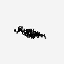 Cc1c(-c2cnc(N)o2)cnc2c1C(CC(C)(C)O)C(c1ccc(OCCCN(C)C)cc1)N2